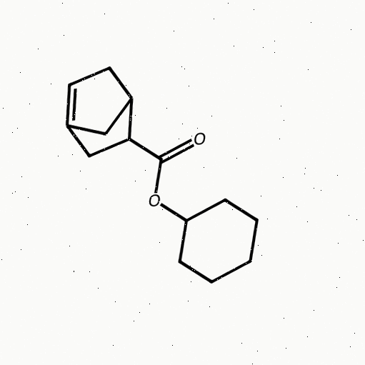 O=C(OC1CCCCC1)C1CC2=CCC1C2